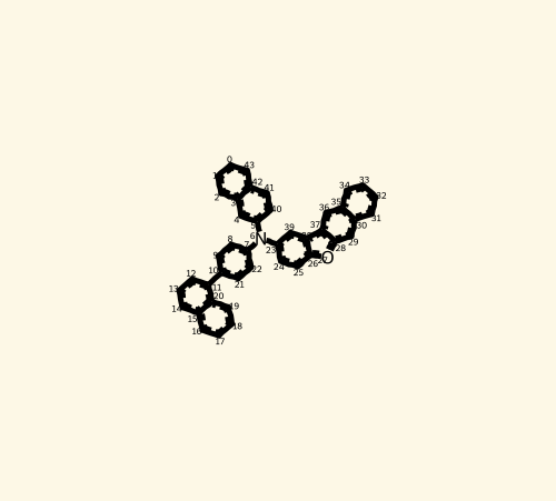 c1ccc2cc(N(c3ccc(-c4cccc5ccccc45)cc3)c3ccc4oc5cc6ccccc6cc5c4c3)ccc2c1